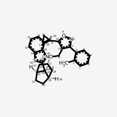 Cc1ccccc1-c1noc(C2CC2)c1CO[C@@H]1C[C@H]2CC[C@@H](C1)[C@]2(O)c1nc2c(F)cccc2s1